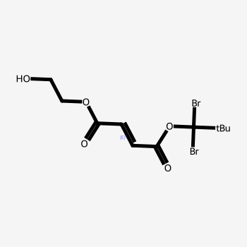 CC(C)(C)C(Br)(Br)OC(=O)/C=C/C(=O)OCCO